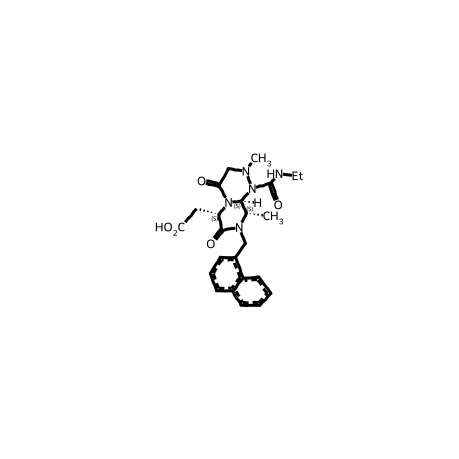 CCNC(=O)N1[C@H]2[C@H](C)N(Cc3cccc4ccccc34)C(=O)[C@H](CC(=O)O)N2C(=O)CN1C